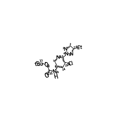 CCc1cnn(-c2ncc(NC(=O)OC(C)(C)C)cc2Cl)n1